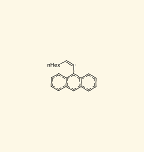 CCCCCC/C=[C]\c1c2ccccc2cc2ccccc12